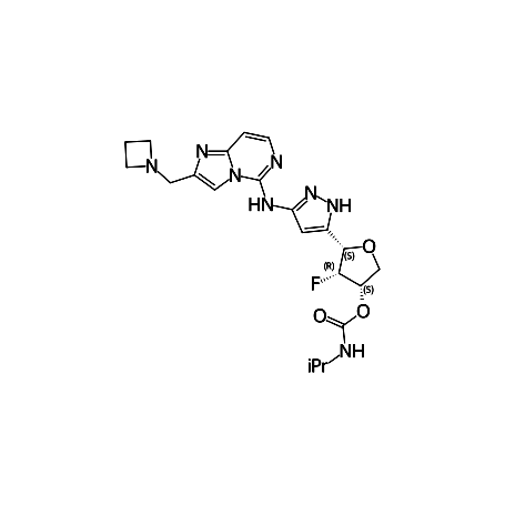 CC(C)NC(=O)O[C@H]1CO[C@@H](c2cc(Nc3nccc4nc(CN5CCC5)cn34)n[nH]2)[C@H]1F